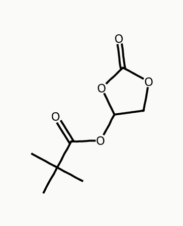 CC(C)(C)C(=O)OC1COC(=O)O1